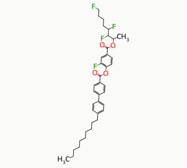 CCCCCCCCCCc1ccc(-c2ccc(C(=O)Oc3ccc(C(=O)OC(C)C(F)C(F)CCCCF)cc3F)cc2)cc1